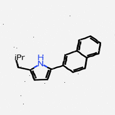 CC(C)Cc1ccc(-c2ccc3ccccc3c2)[nH]1